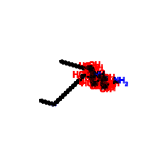 CCCCCCCC/C=C\CCCCCCCCCCCCCCCCCCCC(=O)OC[C@@H](O)COP(=O)(O)O[C@@H]1C(OC(=O)CCCCCCCCCCCCCCC)[C@H](O)C(O)C(O)[C@H]1O[C@H]1OC(CO)[C@@H](O[C@H]2OC(CO[C@H]3OC(CO)[C@@H](O)[C@H](O)C3O[C@H]3OC(COP(=O)(O)OCCN)[C@H](O)[C@H](O)C3O)[C@@H](O)[C@H](O)C2O)[C@H](O)C1N